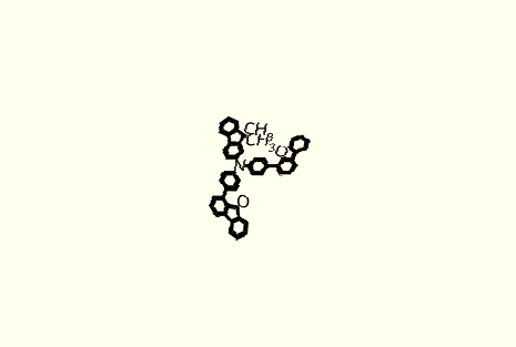 CC1(C)c2ccccc2-c2ccc(N(c3ccc(-c4cccc5c4C(=O)c4ccccc4-5)cc3)c3ccc(-c4cccc5c4oc4ccccc45)cc3)cc21